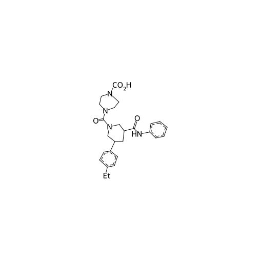 CCc1ccc(C2CC(C(=O)Nc3ccccc3)CN(C(=O)N3CCN(C(=O)O)CC3)C2)cc1